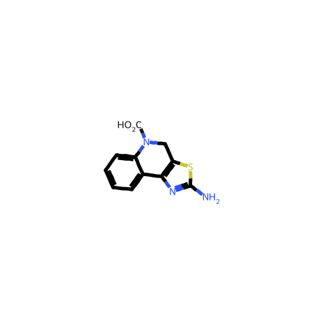 Nc1nc2c(s1)CN(C(=O)O)c1ccccc1-2